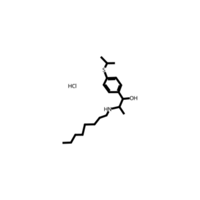 CCCCCCCCNC(C)C(O)c1ccc(SC(C)C)cc1.Cl